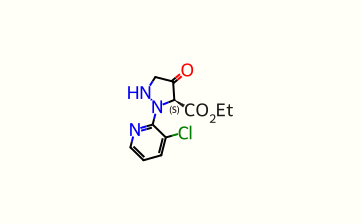 CCOC(=O)[C@@H]1C(=O)CNN1c1ncccc1Cl